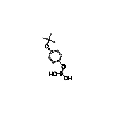 CC(C)(C)Oc1ccc(OB(O)O)cc1